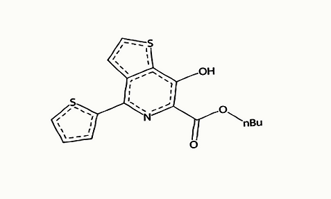 CCCCOC(=O)c1nc(-c2cccs2)c2ccsc2c1O